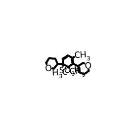 CC1=C(C2CCCOC2)C(C)(C)C(C2CCCOC2)(S(=O)(=O)O)C=C1